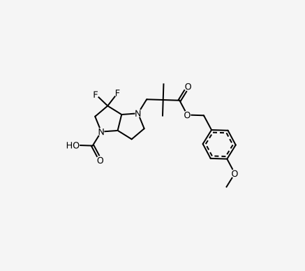 COc1ccc(COC(=O)C(C)(C)CN2CCC3C2C(F)(F)CN3C(=O)O)cc1